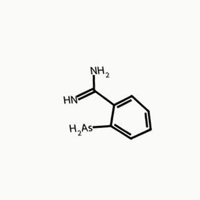 N=C(N)c1ccccc1[AsH2]